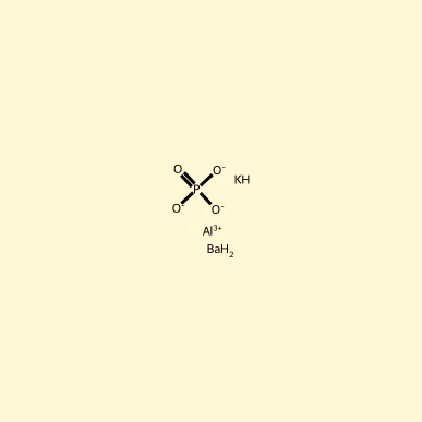 O=P([O-])([O-])[O-].[Al+3].[BaH2].[KH]